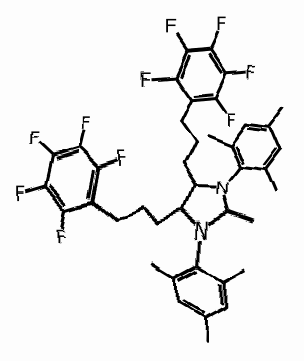 Cc1cc(C)c(N2C(CCCc3c(F)c(F)c(F)c(F)c3F)C(CCCc3c(F)c(F)c(F)c(F)c3F)N(c3c(C)cc(C)cc3C)C2C)c(C)c1